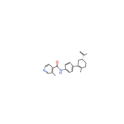 C=C(C)[C@@H]1CCC(C)=C(c2ccc(NC(=O)c3ccncc3C)cc2)C1